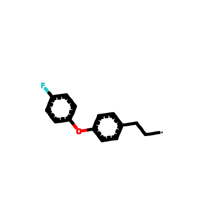 [CH2]CCc1ccc(Oc2ccc(F)cc2)cc1